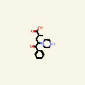 CC(CC(C(=O)c1ccccc1)N1CCNCC1)C(=O)O